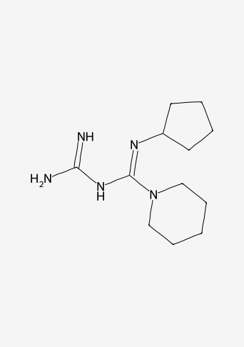 N=C(N)N/C(=N/C1CCCC1)N1CCCCC1